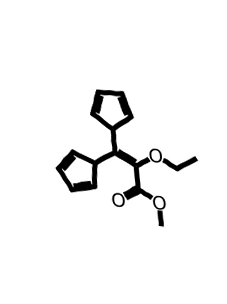 CCOC(C(=O)OC)=C(C1C=CC=C1)C1C=CC=C1